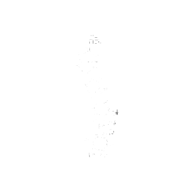 CCCCC1Cc2ccc(-c3ccc(-c4cc(F)c(C(F)(F)Oc5cc(F)c(F)c(F)c5)c(F)c4)c(F)c3)cc2C1